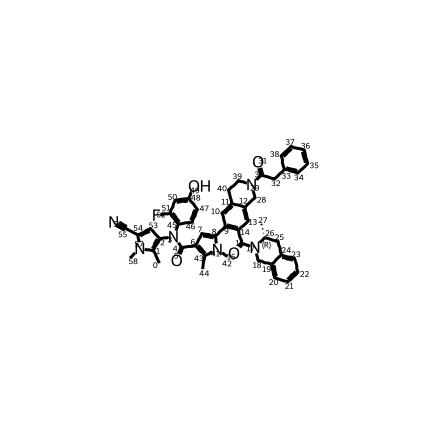 Cc1c(N(C(=O)c2cc(-c3cc4c(cc3C(=O)N3Cc5ccccc5C[C@H]3C)CN(C(=O)Cc3ccccc3)CC4)n(C)c2C)c2ccc(O)cc2F)cc(C#N)n1C